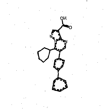 O=C(O)c1cnn2c(C3CCCCC3)c(-c3ccc(-c4ccccc4)cc3)cnc12